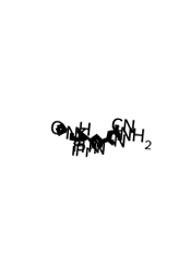 CC(C)n1nc(-c2cnc(N)c(C#N)c2)cc1[C@@H]1[C@@H]2CN(C3COC3)C[C@@H]21